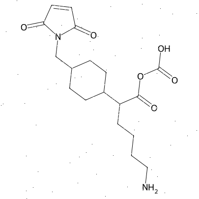 NCCCCC(C(=O)OC(=O)O)C1CCC(CN2C(=O)C=CC2=O)CC1